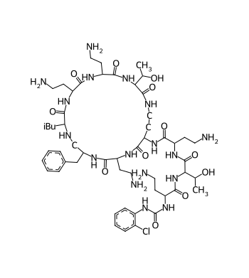 CCC(C)C1NCC(Cc2ccccc2)NC(=O)C(CCN)NC(=O)C(NC(=O)C(CCN)NC(=O)C(NC(=O)C(CCN)NC(=O)Nc2ccccc2Cl)C(C)O)CCNC(=O)C(C(C)O)NC(=O)C(CCN)NC(=O)C(CCN)NC1=O